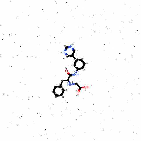 O=C(O)CN[C@@H](Cc1ccccc1)C(=O)Nc1cccc(-c2cncnc2)c1